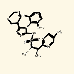 COc1cccc(OC)c1-n1c(NS(=O)(=O)[C@@H](C)[C@H](C)c2ncc(C)cn2)nnc1C1COCOC1